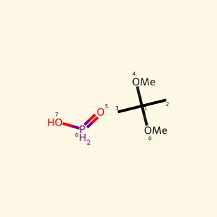 COC(C)(C)OC.O=[PH2]O